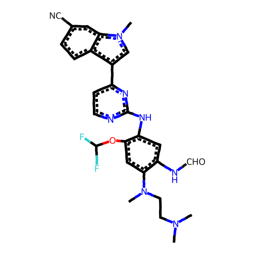 CN(C)CCN(C)c1cc(OC(F)F)c(Nc2nccc(-c3cn(C)c4cc(C#N)ccc34)n2)cc1NC=O